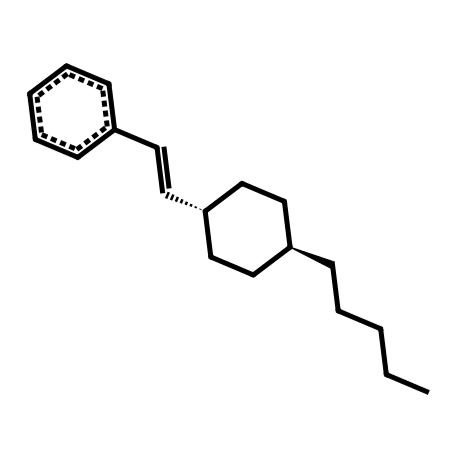 CCCCC[C@H]1CC[C@H](C=Cc2ccccc2)CC1